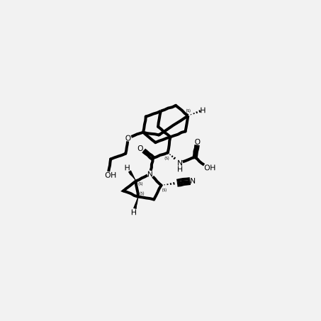 N#C[C@@H]1C[C@@H]2C[C@@H]2N1C(=O)[C@@H](NC(=O)O)C12CC3C[C@H](CC(OCCO)(C3)C1)C2